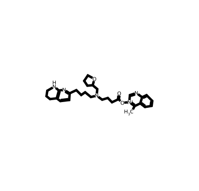 Cc1c2ccccc2nc[n+]1OC(=O)CCCN(CCCCc1ccc2c(n1)NCCC2)CC1CCCO1